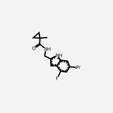 CC(C)c1cc(F)c2cc(CNC(=O)C3(C)CC3)[nH]c2c1